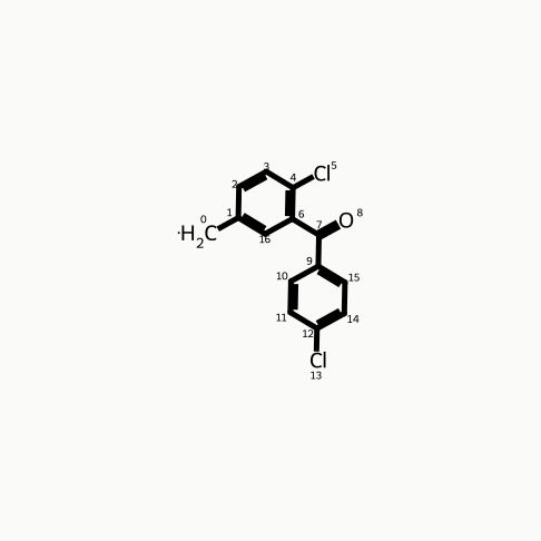 [CH2]c1ccc(Cl)c(C(=O)c2ccc(Cl)cc2)c1